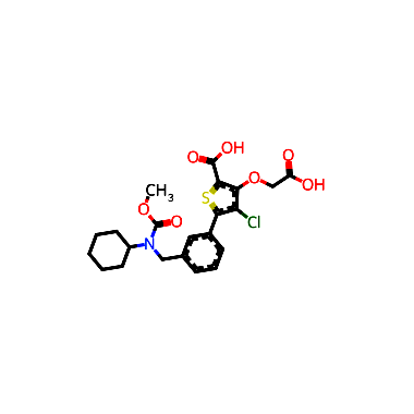 COC(=O)N(Cc1cccc(-c2sc(C(=O)O)c(OCC(=O)O)c2Cl)c1)C1CCCCC1